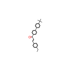 CCc1ccc(/C=C/C(=O)c2ccc(-c3ccc(C(C)(C)C)cc3)cc2)cc1